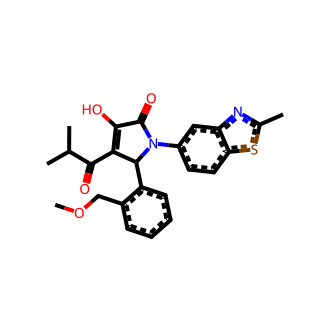 COCc1ccccc1C1C(C(=O)C(C)C)=C(O)C(=O)N1c1ccc2sc(C)nc2c1